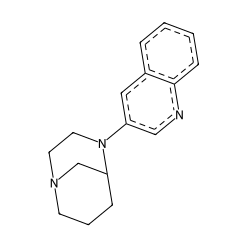 c1ccc2ncc(N3CCN4CCCC3C4)cc2c1